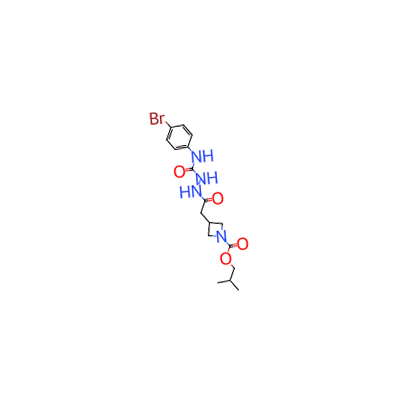 CC(C)COC(=O)N1CC(CC(=O)NNC(=O)Nc2ccc(Br)cc2)C1